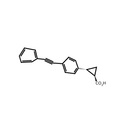 O=C(O)[C@@H]1C[C@H]1c1ccc(C#Cc2ccccc2)cc1